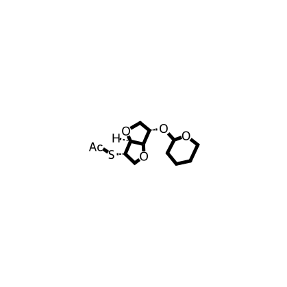 CC(=O)S[C@H]1COC2[C@@H](OC3CCCCO3)CO[C@@H]21